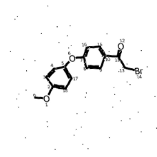 COc1ccc(Oc2ccc(C(=O)CBr)cc2)cc1